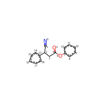 N#CC(CC(=O)Oc1ccccc1)c1ccccc1